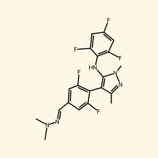 Cc1nn(C)c(Nc2c(F)cc(F)cc2F)c1-c1c(F)cc(C=NN(C)C)cc1F